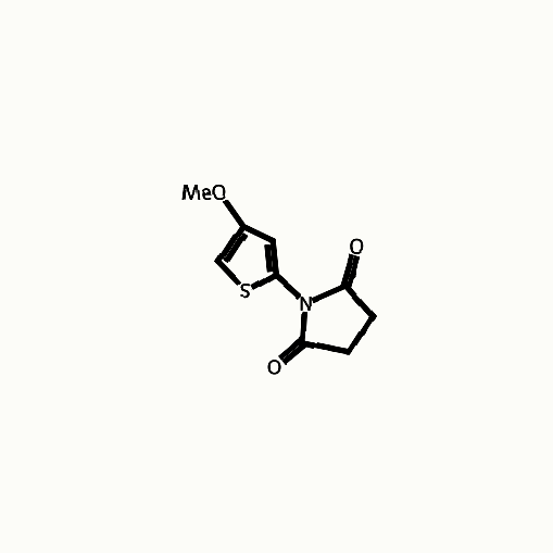 COc1csc(N2C(=O)CCC2=O)c1